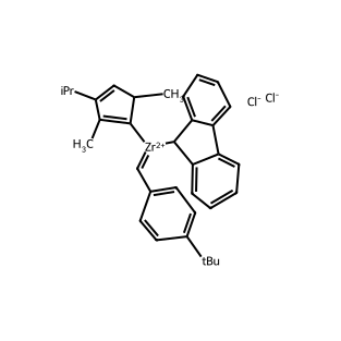 CC1=[C](/[Zr+2](=[CH]/c2ccc(C(C)(C)C)cc2)[CH]2c3ccccc3-c3ccccc32)C(C)C=C1C(C)C.[Cl-].[Cl-]